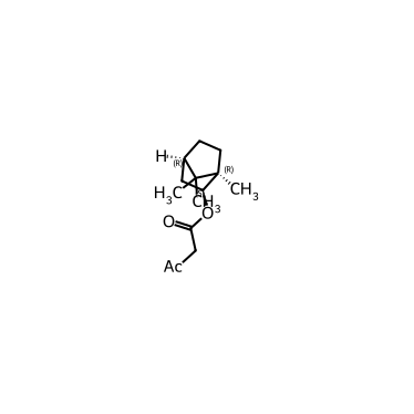 CC(=O)CC(=O)O[C@H]1C[C@H]2CC[C@]1(C)C2(C)C